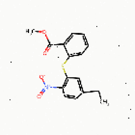 CCc1ccc([N+](=O)[O-])c(Sc2ccccc2C(=O)OC)c1